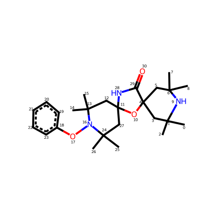 CC1(C)CC2(CC(C)(C)N1)OC1(CC(C)(C)N(Oc3ccccc3)C(C)(C)C1)NC2=O